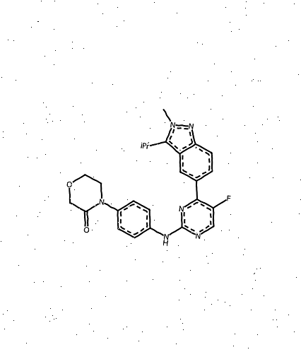 CC(C)c1c2cc(-c3nc(Nc4ccc(N5CCOCC5=O)cc4)ncc3F)ccc2nn1C